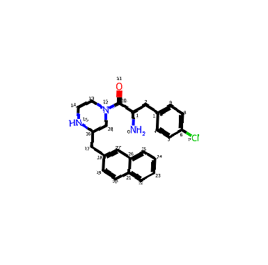 NC(Cc1ccc(Cl)cc1)C(=O)N1CCNC(Cc2ccc3ccccc3c2)C1